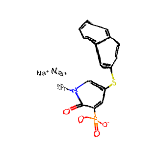 CCCn1cc(Sc2ccc3ccccc3c2)cc(P(=O)([O-])[O-])c1=O.[Na+].[Na+]